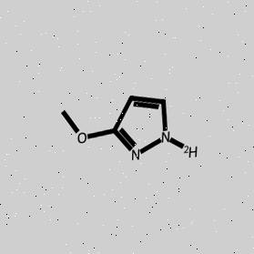 [2H]n1ccc(OC)n1